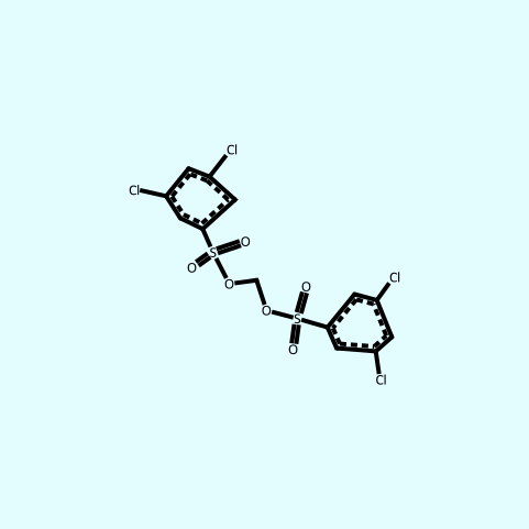 O=S(=O)(OCOS(=O)(=O)c1cc(Cl)cc(Cl)c1)c1cc(Cl)cc(Cl)c1